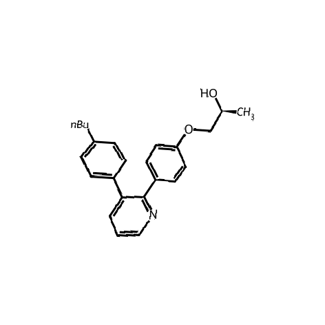 CCCCc1ccc(-c2cccnc2-c2ccc(OC[C@H](C)O)cc2)cc1